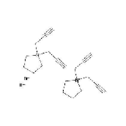 C#CC[N+]1(CC#C)CCCC1.C#CC[N+]1(CC#C)CCCC1.[Br-].[Br-]